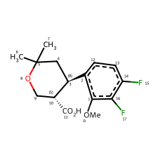 COc1c([C@@H]2CC(C)(C)OC[C@H]2C(=O)O)ccc(F)c1F